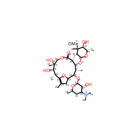 CO[C@]1(C)C[C@H](O[C@H]2[C@H](C)[C@@H](O[C@@H]3O[C@H](C)CC(N(C)C)[C@H]3O)[C@@]3(C)CC(C)=C(O3)[C@H](C)[C@@H](O)[C@](C)(O)COC(=O)[C@@H]2C)O[C@@H](C)[C@@H]1O